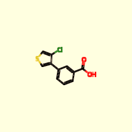 O=C(O)c1cccc(-c2cscc2Cl)c1